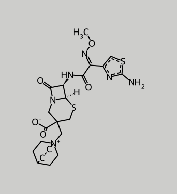 CON=C(C(=O)N[C@@H]1C(=O)N2CC(C[N+]34CCC(CC3)CC4)(C(=O)[O-])CS[C@H]12)c1csc(N)n1